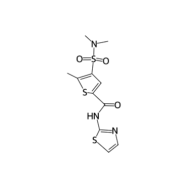 Cc1sc(C(=O)Nc2nccs2)cc1S(=O)(=O)N(C)C